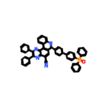 N#Cc1cc2c(-c3ccc(-c4ccc(P(=O)(c5ccccc5)c5ccccc5)cc4)cc3)nc3ccccc3c2c2nc(-c3ccccc3)c(-c3ccccc3)nc12